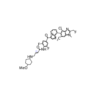 COC1CCC(NC/C=C/C(=O)Nc2c(F)cc(C(=O)c3ccc4c(-c5c(C(F)(F)F)cc6c(nc(CF)n6C)c5Cl)cccn34)cc2F)CC1